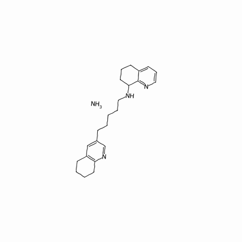 N.c1cnc2c(c1)CCCC2NCCCCCc1cnc2c(c1)CCCC2